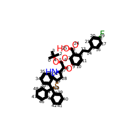 CC(C)(C)OC(=O)C(Oc1ccc(CCc2ccc(F)cc2)c(C(=O)O)c1)C1CC(SC(c2ccccc2)(c2ccccc2)c2ccccc2)CN1